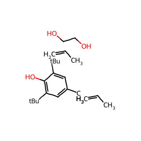 C=CC.C=CC.Cc1cc(C(C)(C)C)c(O)c(C(C)(C)C)c1.OCCO